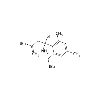 C=C(CC(N)(S)c1c(C)cc(C)cc1CC(C)(C)C)C(C)(C)C